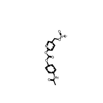 CC(=O)Nc1ccc(OC(=O)Oc2ccc(CO[N+](=O)[O-])cn2)cc1